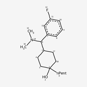 CCCCCC1(O)CCC(C(c2cccc(F)c2)N(C)C)CC1